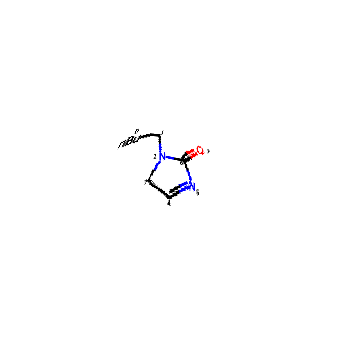 CCCCCN1CC=NC1=O